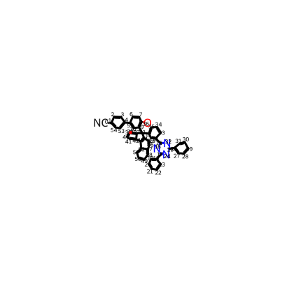 N#Cc1ccc(-c2ccc3c(c2)C2(c4cc(-c5nc(-c6ccccc6)nc(-c6ccccc6)n5)ccc4O3)c3ccccc3-c3c2ccc2ccccc32)cc1